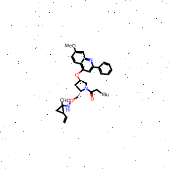 C=CC1CC1(C=O)NOC[C@@H]1C[C@@H](Oc2cc(-c3ccccc3)nc3cc(OC)ccc23)CN1C(=O)CC(C)(C)C